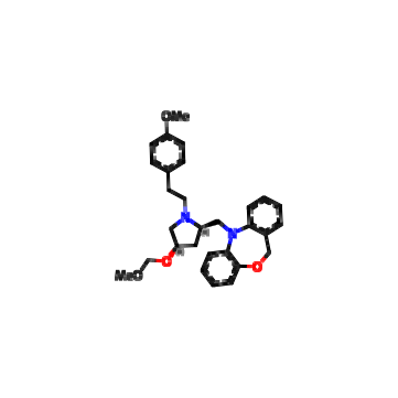 COCO[C@@H]1C[C@H](CN2c3ccccc3COc3ccccc32)N(CCc2ccc(OC)cc2)C1